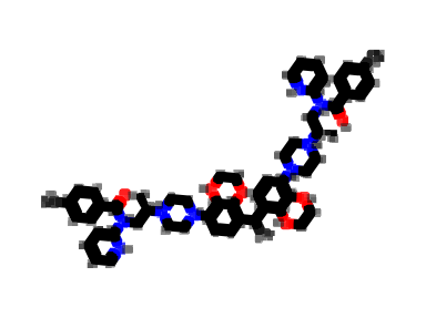 CC(C)C(c1ccc(N2CCN([C@H](C)CN(C(=O)c3ccc(C#N)cc3)c3ccccn3)CC2)c2c1OCCO2)c1ccc(N2CCN([C@@H](C)CN(C(=O)c3ccc(C#N)cc3)c3ccccn3)CC2)c2c1OCCO2